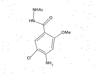 COc1cc(N)c(Cl)cc1C(=O)NNC(C)=O